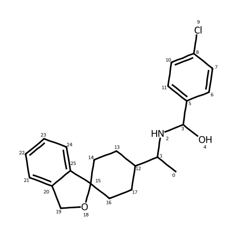 CC(NC(O)c1ccc(Cl)cc1)C1CCC2(CC1)OCc1ccccc12